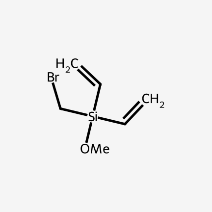 C=C[Si](C=C)(CBr)OC